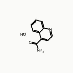 Cl.NC(=O)c1ccnc2ccccc12